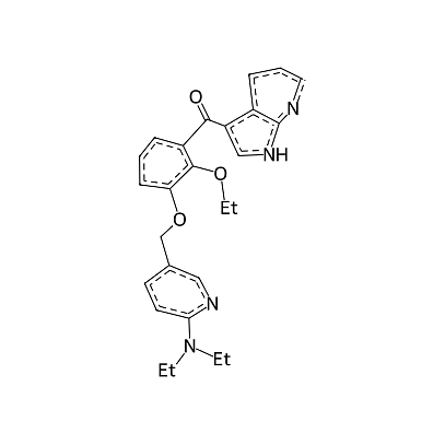 CCOc1c(OCc2ccc(N(CC)CC)nc2)cccc1C(=O)c1c[nH]c2ncccc12